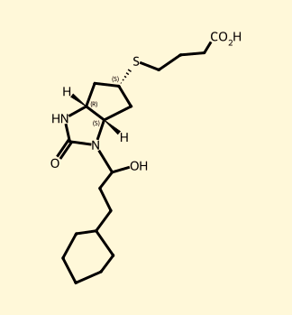 O=C(O)CCCS[C@H]1C[C@H]2NC(=O)N(C(O)CCC3CCCCC3)[C@H]2C1